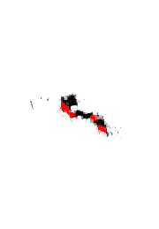 CCCCC[C@@H](C(=O)NCNC(=O)c1ccc(-c2ccc(C(=O)N[C@@H](CC(=O)OC)C(=O)OC)c(C)c2)o1)[C@@H](CC)N(C=O)OCc1ccccc1